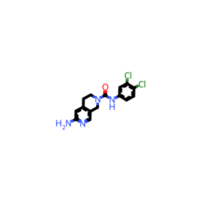 Nc1cc2c(cn1)CN(C(=O)Nc1ccc(Cl)c(Cl)c1)CC2